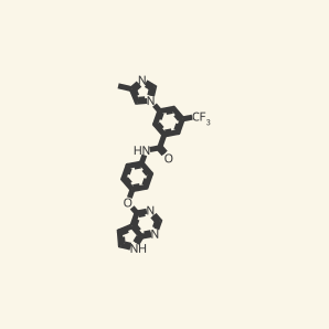 Cc1cn(-c2cc(C(=O)Nc3ccc(Oc4ncnc5[nH]ccc45)cc3)cc(C(F)(F)F)c2)cn1